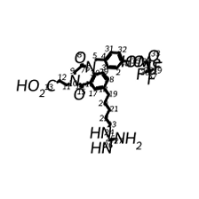 COc1ccc(CN2C(=O)CN(CCC(=O)O)C(=O)c3cc(CCCCCNC(=N)N)ccc32)cc1.O=C(O)C(F)(F)F